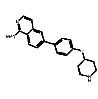 CNc1nccc2cc(-c3ccc(OC4CCNCC4)cc3)ccc12